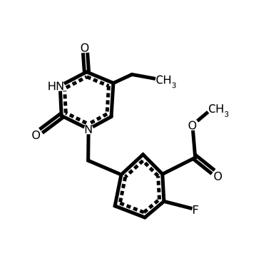 CCc1cn(Cc2ccc(F)c(C(=O)OC)c2)c(=O)[nH]c1=O